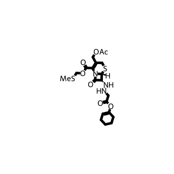 CSCOC(=O)C1=C(COC(C)=O)CS[C@@H]2[C@H](NNCC(=O)OC3=CCCCC3)C(=O)N12